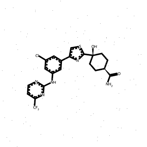 NC(=O)[C@H]1CC[C@](O)(c2nc(-c3cc(Cl)cc(Nc4nccc(C(F)(F)F)n4)c3)cs2)CC1